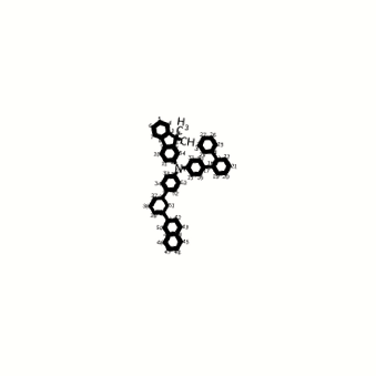 CC1(C)c2ccccc2-c2ccc(N(c3ccc(-c4ccccc4-c4ccccc4)cc3)c3ccc(C4C=CC=C(c5ccc6ccccc6c5)C4)cc3)cc21